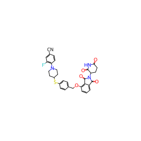 N#Cc1ccc(N2CCC(Sc3ccc(COc4cccc5c4C(=O)N(C4CCC(=O)NC4=O)C5=O)cc3)CC2)c(F)c1